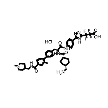 Cc1cc(C(=O)NCC2CCN(C)CC2)ccc1-c1ccc(C[C@H](NC(=O)[C@H]2CC[C@H](CN)CC2)C(=O)Nc2ccc(-c3nnc(C(F)(F)C(F)(F)C(=O)O)[nH]3)cc2)cc1.Cl